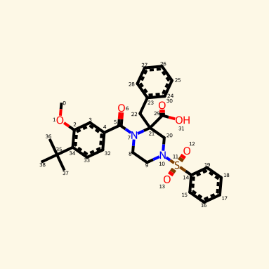 COc1cc(C(=O)N2CCN(S(=O)(=O)c3ccccc3)CC2(Cc2ccccc2)C(=O)O)ccc1C(C)(C)C